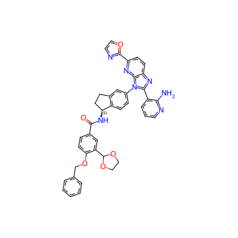 Nc1ncccc1-c1nc2ccc(-c3ncco3)nc2n1-c1ccc2c(c1)CC[C@@H]2NC(=O)c1ccc(OCc2ccccc2)c(C2OCCO2)c1